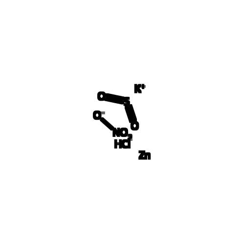 Cl.O=S=O.O=[N+]([O-])[O-].[K+].[Zn]